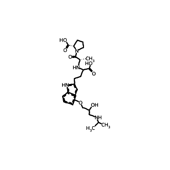 CC(C)NCC(O)COc1cccc2[nH]c(CCC(N[C@@H](C)C(=O)N3CCC[C@H]3C(=O)O)C(=O)O)cc12